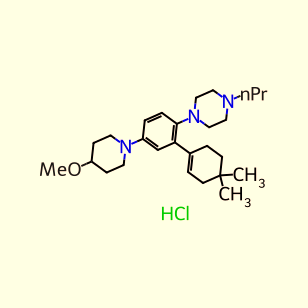 CCCN1CCN(c2ccc(N3CCC(OC)CC3)cc2C2=CCC(C)(C)CC2)CC1.Cl